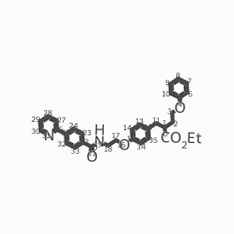 CCOC(=O)C(CCOc1ccccc1)Cc1ccc(OCCNC(=O)c2ccc(-c3ccccn3)cc2)cc1